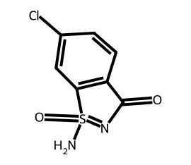 NS1(=O)=NC(=O)c2ccc(Cl)cc21